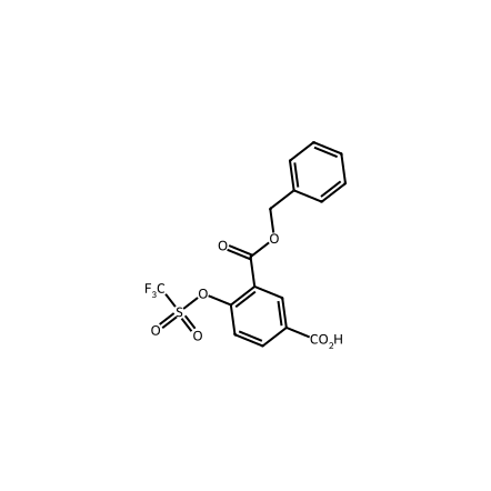 O=C(O)c1ccc(OS(=O)(=O)C(F)(F)F)c(C(=O)OCc2ccccc2)c1